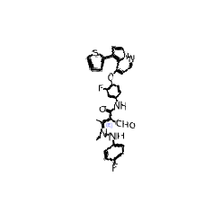 C/C(=C(/C=O)C(=O)Nc1ccc(Oc2ccnn3ccc(-c4cccs4)c23)c(F)c1)N(C)Nc1ccc(F)cc1